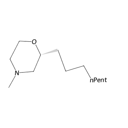 CCCCCCCC[C@@H]1CN(C)CCO1